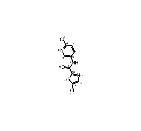 O=C(Nc1ccc(Cl)nc1)c1ncc(Cl)s1